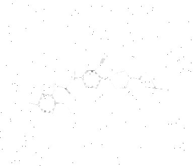 COc1ccc(C)cc1NC(=O)Nc1ccc(N2CCN(C(=O)OC(C)(C)C)CC2)c(C#N)c1